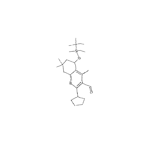 Cc1c(C=O)c(C2CCCC2)nc2c1C(O[Si](C)(C)C(C)(C)C)CC(C)(C)C2